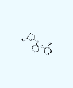 CC1=CCCC(Nc2ncccc2Oc2ccccc2C#N)=N1